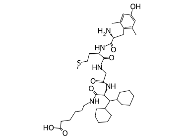 CSCC[C@@H](NC(=O)[C@@H](N)Cc1c(C)cc(O)cc1C)C(=O)NCC(=O)N[C@H](C(=O)NCCCCCC(=O)O)C(C1CCCCC1)C1CCCCC1